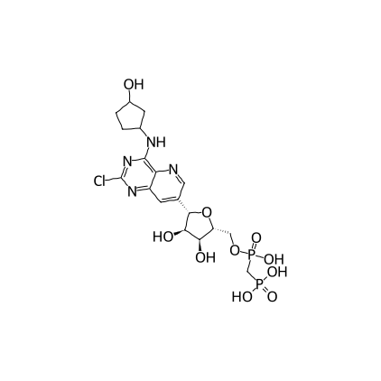 O=P(O)(O)CP(=O)(O)OC[C@H]1O[C@@H](c2cnc3c(NC4CCC(O)C4)nc(Cl)nc3c2)[C@H](O)[C@@H]1O